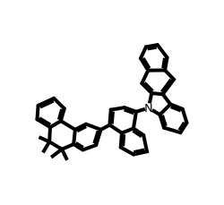 CC1(C)c2ccccc2-c2cc(-c3ccc(-n4c5ccccc5c5cc6ccccc6cc54)c4ccccc34)ccc2C1(C)C